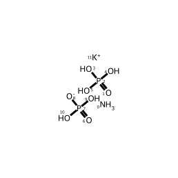 N.O=P(O)(O)O.O=P([O-])(O)O.[K+]